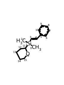 C[Si](C)(C=Cc1ccccc1)C1CCCCO1